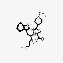 CCCCC(Cc1c[nH]c2ccccc12)N1N=C(C2CCN(C)CC2)SC1C(N)=O